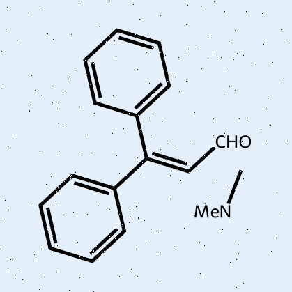 CNC.O=CC=C(c1ccccc1)c1ccccc1